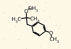 COc1ccc(CC(C)(C)O[SiH3])cc1